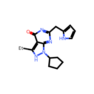 CCc1[nH]n(C2CCCC2)c2nc(Cc3ccc[nH]3)nc(=O)c1-2